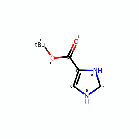 CC(C)(C)OC(=O)C1=CN[C]N1